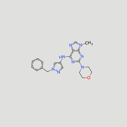 Cn1cnc2c(Nc3cnn(Cc4ccccc4)c3)nc(N3CCOCC3)nc21